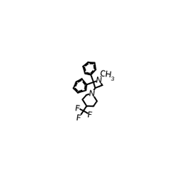 CN1CC(N2CCC(C(F)(F)F)CC2)C1(c1ccccc1)c1ccccc1